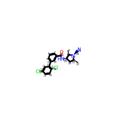 C[C@@H]1[C@H](NC(=O)c2cccc(-c3cc(Cl)ccc3Cl)c2)C[C@H](C)N1C#N